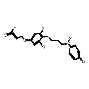 [O-][S+](CCCOc1c(Cl)cc(OCC=C(Cl)Cl)cc1Cl)c1ccc(Cl)cc1